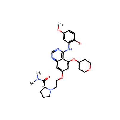 COc1ccc(Br)c(Nc2ncnc3cc(OCCN4CCC[C@H]4C(=O)N(C)C)cc(OC4CCOCC4)c23)c1